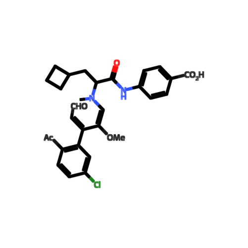 COC(=C/N(C)C(CC1CCC1)C(=O)Nc1ccc(C(=O)O)cc1)/C(=C\C=O)c1cc(Cl)ccc1C(C)=O